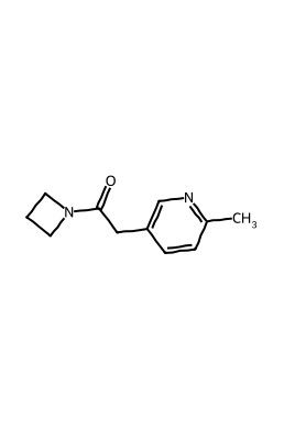 Cc1ccc(CC(=O)N2CCC2)cn1